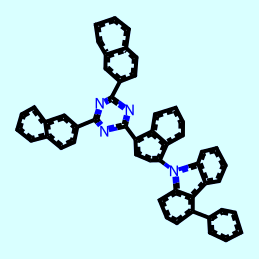 c1ccc(-c2cccc3c2c2ccccc2n3-c2ccc(-c3nc(-c4ccc5ccccc5c4)nc(-c4ccc5ccccc5c4)n3)c3ccccc23)cc1